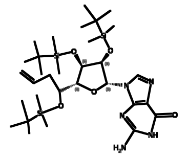 C=CCC(O[Si](C)(C)C(C)(C)C)[C@H]1O[C@@H](n2cnc3c(=O)[nH]c(N)nc32)[C@H](O[Si](C)(C)C(C)(C)C)[C@@H]1O[Si](C)(C)C(C)(C)C